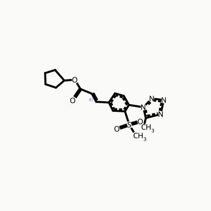 Cc1nnnn1-c1ccc(/C=C/C(=O)OC2CCCC2)cc1S(C)(=O)=O